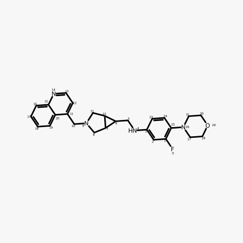 Fc1cc(NCC2C3CN(Cc4ccnc5ccccc45)CC23)ccc1N1CCOCC1